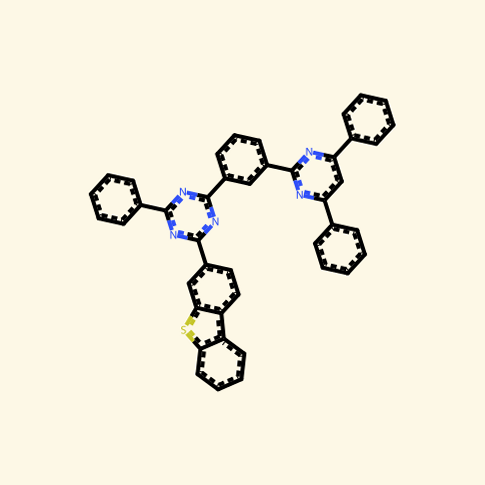 c1ccc(-c2cc(-c3ccccc3)nc(-c3cccc(-c4nc(-c5ccccc5)nc(-c5ccc6c(c5)sc5ccccc56)n4)c3)n2)cc1